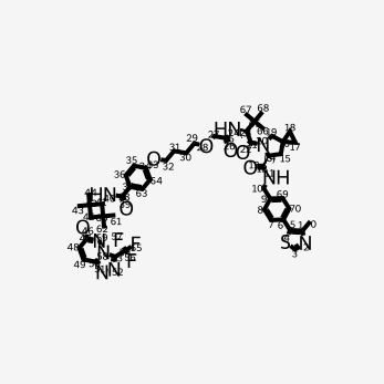 Cc1ncsc1-c1ccc(CNC(=O)[C@@H]2CC3(CC3)CN2C(=O)[C@@H](NC(=O)COCCCCOc2ccc(C(=O)N[C@H]3C(C)(C)[C@H](Oc4ccc5nnc(C(F)(F)F)n5n4)C3(C)C)cc2)C(C)(C)C)cc1